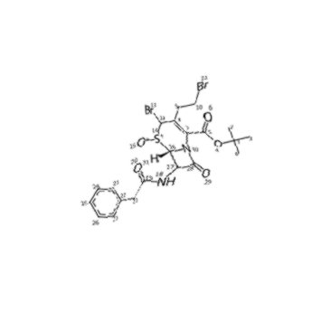 CC(C)(C)OC(=O)C1=C(CCBr)C(Br)[S+]([O-])[C@H]2C(NC(=O)Cc3ccccc3)C(=O)N12